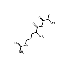 CC(O)C(=O)OC(=O)C(N)CCCNC(=N)N